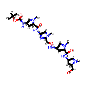 Cn1cc(NC(=O)c2cc(NOCc3nc(NC(=O)c4cc(NC(=O)OC(C)(C)C)cn4C)cn3C)cn2C)cc1C=O